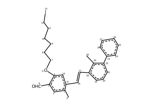 Cc1cc(C=O)c(OCCCCCCI)cc1/C=C/c1cccc(-c2ccccc2)c1C